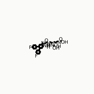 O=C(O)NCCC[C@@H](CNC(=O)c1nc2cc(-c3ccc(F)cc3)c(-c3ccc(F)cc3)cc2[nH]1)NC(=O)O